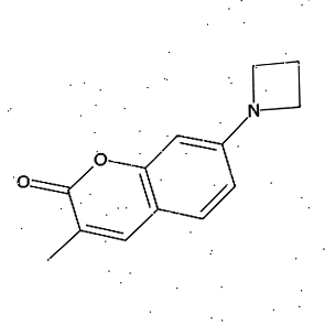 Cc1cc2ccc(N3CCC3)cc2oc1=O